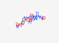 CC(=O)N1CC(Nc2cc(C(=O)NCC(O)CN3CCc4cc(OCc5cnco5)ccc4C3)ncn2)C1